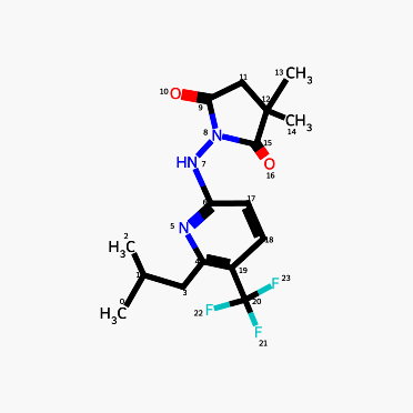 CC(C)Cc1nc(NN2C(=O)CC(C)(C)C2=O)ccc1C(F)(F)F